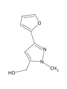 Cn1nc(-c2ccco2)cc1CO